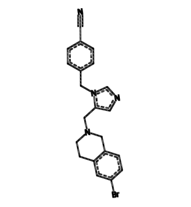 N#Cc1ccc(Cn2cncc2CN2CCc3cc(Br)ccc3C2)cc1